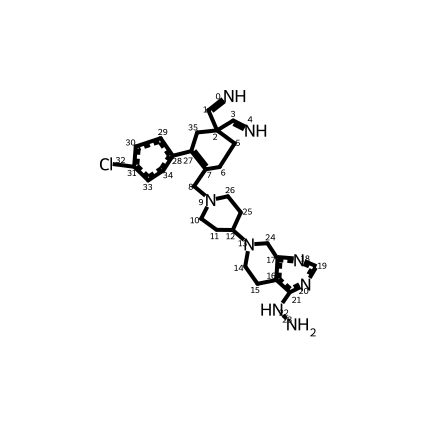 N=CC1(C=N)CCC(CN2CCC(N3CCc4c(ncnc4NN)C3)CC2)=C(c2ccc(Cl)cc2)C1